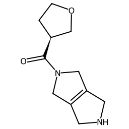 O=C([C@H]1CCOC1)N1CC2=C(CNC2)C1